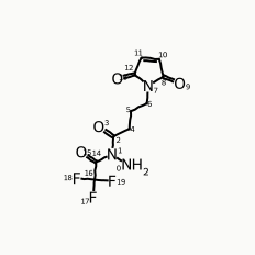 NN(C(=O)CCCN1C(=O)C=CC1=O)C(=O)C(F)(F)F